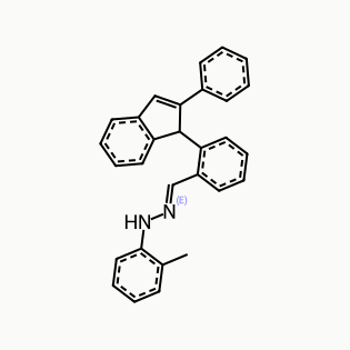 Cc1ccccc1N/N=C/c1ccccc1C1C(c2ccccc2)=Cc2ccccc21